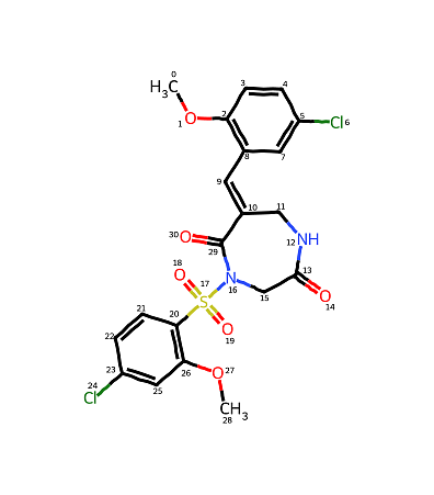 COc1ccc(Cl)cc1C=C1CNC(=O)CN(S(=O)(=O)c2ccc(Cl)cc2OC)C1=O